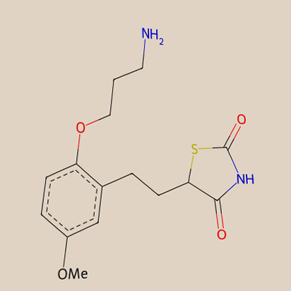 COc1ccc(OCCCN)c(CCC2SC(=O)NC2=O)c1